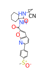 C[S+]([O-])c1ccc(-c2ccc3cc(C(=O)NC4(C(=O)NC5(C#N)CC5)CCCCC4)oc3n2)cc1